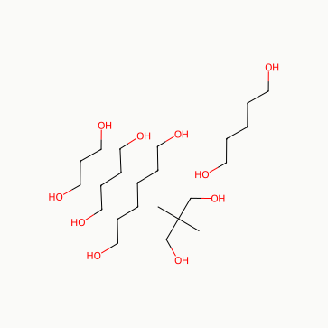 CC(C)(CO)CO.OCCCCCCO.OCCCCCO.OCCCCO.OCCCO